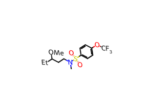 CCC(CCN(C)S(=O)(=O)c1ccc(OC(F)(F)F)cc1)OC